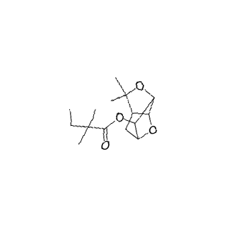 CCC(C)(C)C(=O)OC1C2CC3C(O2)C1OC3(C)C